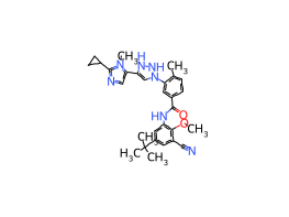 COc1c(C#N)cc(C(C)(C)C)cc1NC(=O)c1ccc(C)c(N2C=C(c3cnc(C4CC4)n3C)NN2)c1